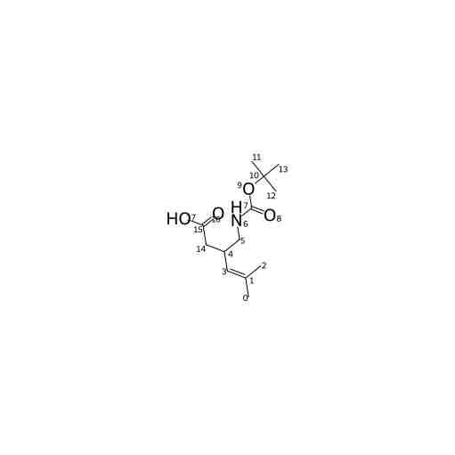 CC(C)=CC(CNC(=O)OC(C)(C)C)CC(=O)O